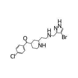 O=C(c1ccc(Cl)cc1)C1CCNC(CCNCc2n[nH]cc2Br)C1